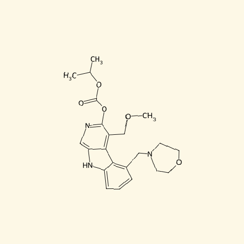 COCc1c(OC(=O)OC(C)C)ncc2[nH]c3cccc(CN4CCOCC4)c3c12